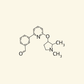 CC1C(Oc2cccc(-c3cccc(C=O)c3)n2)CCN1C